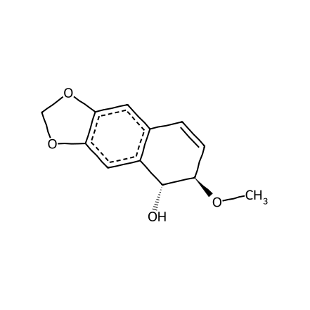 CO[C@@H]1C=Cc2cc3c(cc2[C@H]1O)OCO3